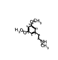 CNCCc1cc(OC)cc(OC)c1